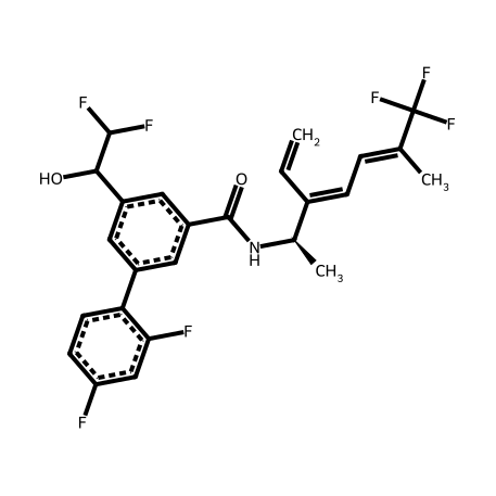 C=C/C(=C\C=C(/C)C(F)(F)F)[C@@H](C)NC(=O)c1cc(-c2ccc(F)cc2F)cc(C(O)C(F)F)c1